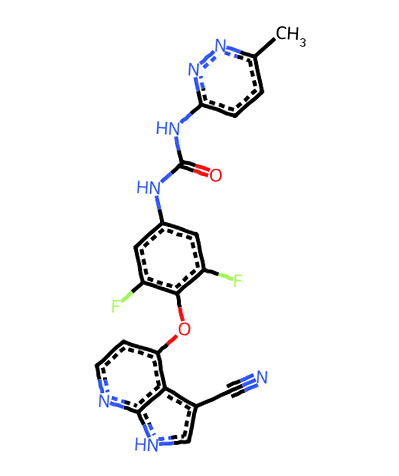 Cc1ccc(NC(=O)Nc2cc(F)c(Oc3ccnc4[nH]cc(C#N)c34)c(F)c2)nn1